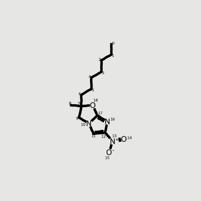 CCCCCCCC1(C)Cn2cc([N+](=O)[O-])nc2O1